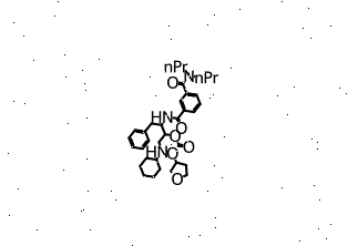 CCCN(CCC)C(=O)c1cccc(C(=O)NC(Cc2ccccc2)C(CNC2CCCCC2)OC(=O)OC2CCOC2)c1